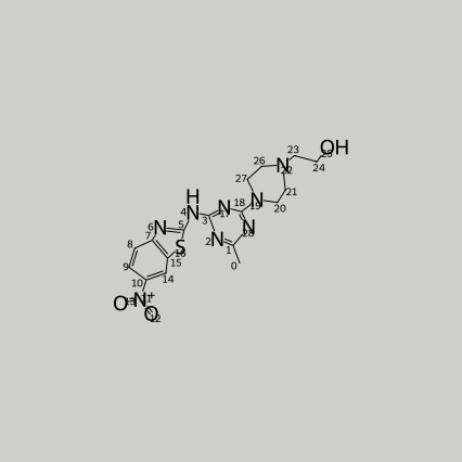 Cc1nc(Nc2nc3ccc([N+](=O)[O-])cc3s2)nc(N2CCN(CCO)CC2)n1